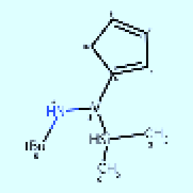 C[SiH](C)[V]([NH]C(C)(C)C)[C]1=CC=CC1